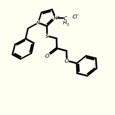 C[n+]1ccn(Cc2ccccc2)c1SCC(=O)COc1ccccc1.[Cl-]